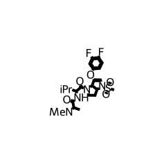 CNC(C)C(=O)NC(C(=O)N1CCC2C1C(Oc1ccc(F)c(F)c1)=CN2S(C)(=O)=O)C(C)C